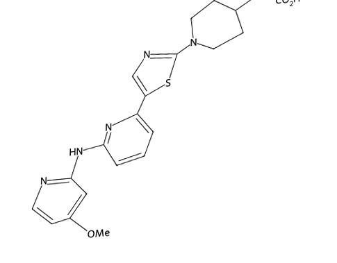 COc1ccnc(Nc2cccc(-c3cnc(N4CCC(CC(=O)O)CC4)s3)n2)c1